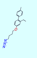 CCc1cc(OCCCCN=[N+]=[N-])ccc1-c1ccc(C)cc1